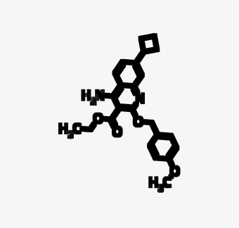 CCOC(=O)c1c(OCc2ccc(OC)cc2)nc2cc(C3CCC3)ccc2c1N